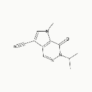 CC(C)n1ncc2c(C#N)cn(C)c2c1=O